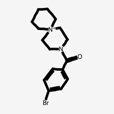 O=C(c1ccc(Br)cc1)N1CC[N+]2(CCCCC2)CC1